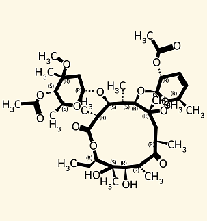 CC[C@H]1OC(=O)[C@H](C)[C@@H](O[C@H]2C[C@@](C)(OC)[C@@H](OC(C)=O)[C@H](C)O2)[C@H](C)[C@@H](O[C@@H]2O[C@H](C)C=C[C@H]2OC(C)=O)[C@](C)(OC)C[C@@H](C)C(=O)[C@H](C)[C@@H](O)[C@]1(C)O